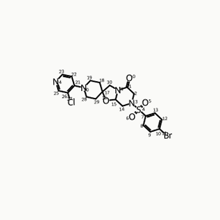 O=C1CN(S(=O)(=O)c2ccc(Br)cc2)CC2OC3(CCN(c4ccncc4Cl)CC3)CN12